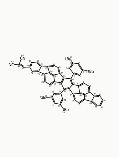 CC(C)(C)c1cc(-c2c3c4ccc5c6c(ccc(c3c(-c3cc(C(C)(C)C)cc(C(C)(C)C)c3)c3c7ccc8c9c(ccc(c23)c97)-c2ccc(C=C(C#N)C#N)cc2-8)c64)-c2ccccc2-5)cc(C(C)(C)C)c1